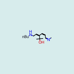 CCCCNC/C=C(/C=C\C=N/C)C(C)(C)O